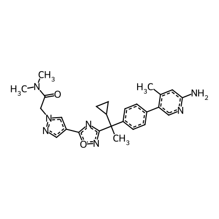 Cc1cc(N)ncc1-c1ccc(C(C)(c2noc(-c3cnn(CC(=O)N(C)C)c3)n2)C2CC2)cc1